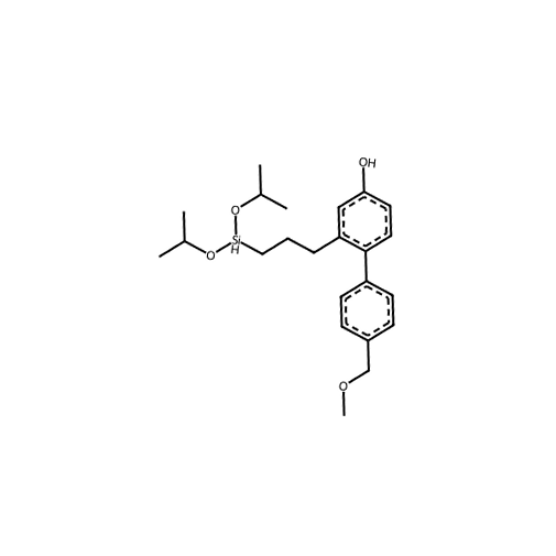 COCc1ccc(-c2ccc(O)cc2CCC[SiH](OC(C)C)OC(C)C)cc1